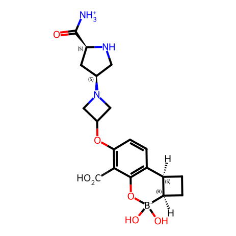 [NH3+]C(=O)[C@@H]1C[C@H](N2CC(Oc3ccc4c(c3C(=O)O)O[B-](O)(O)[C@@H]3CC[C@H]43)C2)CN1